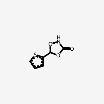 O=C1NOC(c2cccs2)O1